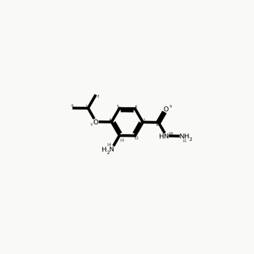 CC(C)Oc1ccc(C(=O)NN)cc1N